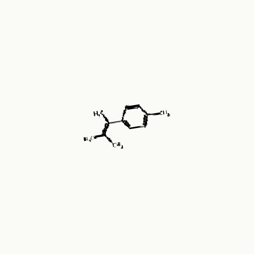 CC(C)=C(C)c1ccc(C)cc1